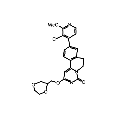 COc1nccc(-c2ccc3c(c2)CCn2c-3cc(OCC3COCCO3)nc2=O)c1Cl